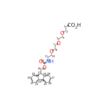 O=C(O)CCOCCOCCOCCNC(=O)OCC1c2ccccc2-c2ccccc21